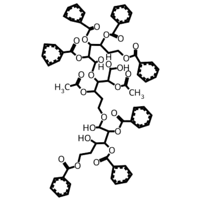 CC(=O)OC(CCOC(O)C(OC(=O)c1ccccc1)C(OC(=O)c1ccccc1)C(O)CCOC(=O)c1ccccc1)C(OC(O)C(OC(=O)c1ccccc1)C(OC(=O)c1ccccc1)C(CCOC(=O)c1ccccc1)OC(=O)c1ccccc1)C(OC(C)=O)C(O)O